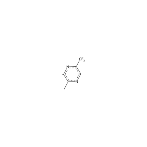 Cc1[c]nc(C(F)(F)F)cn1